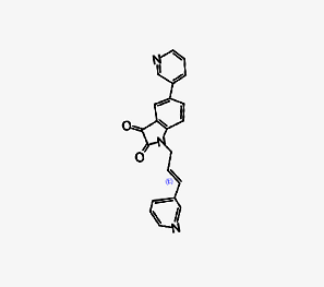 O=C1C(=O)N(C/C=C/c2cccnc2)c2ccc(-c3cccnc3)cc21